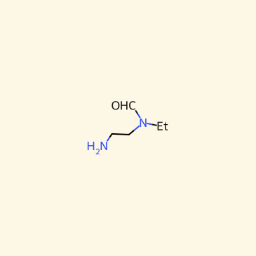 CCN(C=O)CCN